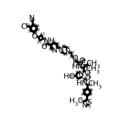 Cc1ncsc1-c1ccc([C@H](C)NC(=O)[C@@H]2C[C@@H](O)CN2C(=O)[C@@H](NC(=O)COCCN2CCN(c3ccc(C(=O)N[C@H]4C[C@H](Oc5ccc(C#N)c(Cl)c5)C4)cn3)CC2)C(C)(C)C)cc1